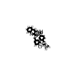 Cc1ccc(S(=O)(=O)Nc2cc3ccccc3nc2OCc2ccc(Cl)c(OCCN(C)C)c2)cc1